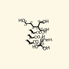 C=CC(=O)O.C=CC(=O)O.C=CC(=O)O.CCCCCC(O)O.OCCCC(CO)CO